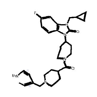 C/C=C(\C=C/NC)CN1CCC(C(=O)N2CCC(n3c(=O)n(CC4CC4)c4cc(F)ccc43)CC2)CC1